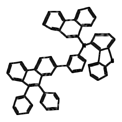 c1ccc(-c2c(-c3ccccc3)c3cc(-c4cccc(N(c5cc6ccccc6c6ccccc56)c5cccc6sc7ccccc7c56)c4)ccc3c3ccccc23)cc1